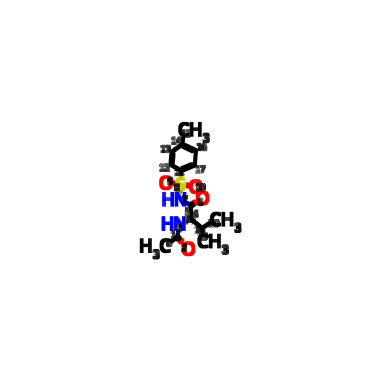 CC(=O)N[C@H](C(=O)NS(=O)(=O)c1ccc(C)cc1)C(C)C